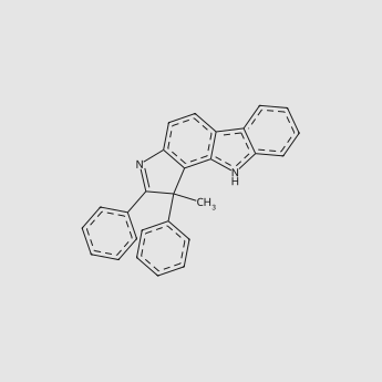 CC1(c2ccccc2)C(c2ccccc2)=Nc2ccc3c([nH]c4ccccc43)c21